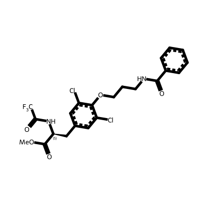 COC(=O)[C@H](Cc1cc(Cl)c(OCCCNC(=O)c2ccccc2)c(Cl)c1)NC(=O)C(F)(F)F